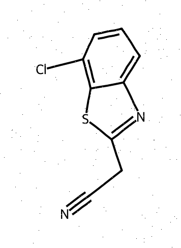 N#CCc1nc2cccc(Cl)c2s1